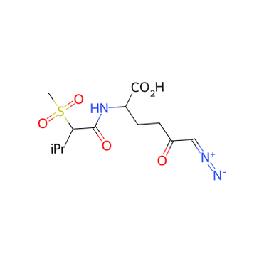 CC(C)C(C(=O)NC(CCC(=O)C=[N+]=[N-])C(=O)O)S(C)(=O)=O